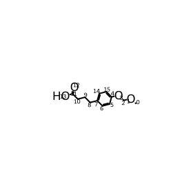 COCOc1ccc(CCCC(=O)O)cc1